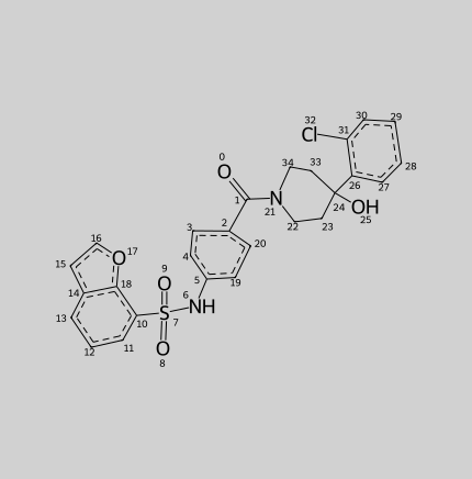 O=C(c1ccc(NS(=O)(=O)c2cccc3ccoc23)cc1)N1CCC(O)(c2ccccc2Cl)CC1